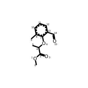 COC(=O)C(C)Oc1c(C)cccc1C=O